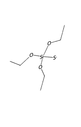 CCO[Si]([S])(OCC)OCC